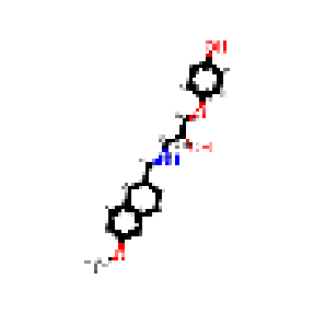 COc1ccc2c(c1)CCC(CNC[C@@H](O)COc1ccc(O)cc1)C2